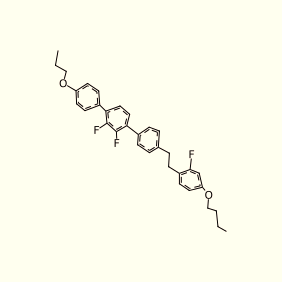 CCCCOc1ccc(CCc2ccc(-c3ccc(-c4ccc(OCCC)cc4)c(F)c3F)cc2)c(F)c1